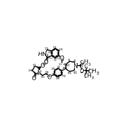 CC(C)(C)OC(=O)N1CC[C@@H](COc2ccc3c(c2)C(=O)NC3)[C@H](c2ccc(OCCN3C(=O)CCC3=O)cc2)CC1